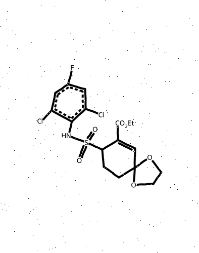 CCOC(=O)C1=CC2(CCC1S(=O)(=O)Nc1c(Cl)cc(F)cc1Cl)OCCO2